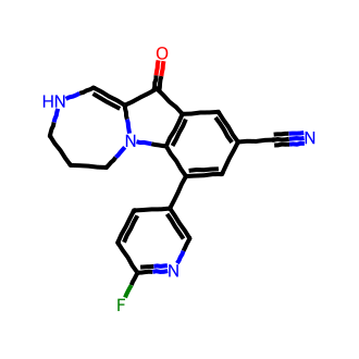 N#Cc1cc2c(c(-c3ccc(F)nc3)c1)N1CCCNC=C1C2=O